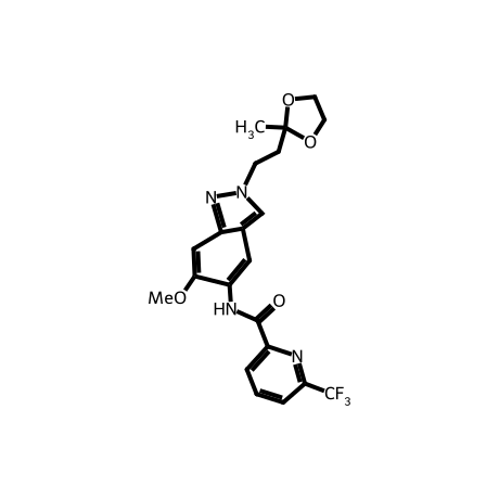 COc1cc2nn(CCC3(C)OCCO3)cc2cc1NC(=O)c1cccc(C(F)(F)F)n1